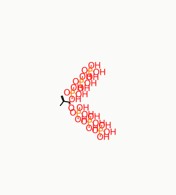 C=C(C)C=O.O=P(O)(O)O.O=P(O)(O)O.O=P(O)(O)O.O=P(O)(O)O.O=P(O)(O)O.O=P(O)(O)O